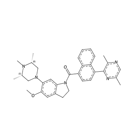 COc1cc2c(cc1N1C[C@@H](C)N(C)[C@@H](C)C1)N(C(=O)c1ccc(-c3nc(C)cnc3C)c3ccccc13)CC2